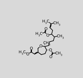 COC(=O)C=C1CC[C@@H](OC(C)=O)[C@](C)(CCCC(C)C(CC=C(C)C)OC(C)=O)OC1